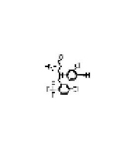 CNC[C@H](CC=O)N(Cc1cc(Cl)ccc1C(F)(F)F)c1ccc(C#N)c(Cl)c1